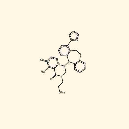 COCCN1CN(C2c3ccccc3SCc3c(-c4cccs4)cccc32)n2ccc(=O)c(O)c2C1=O